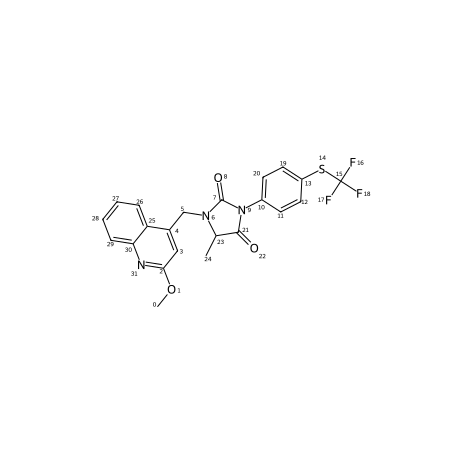 COc1cc(CN2C(=O)N(c3ccc(SC(F)(F)F)cc3)C(=O)C2C)c2ccccc2n1